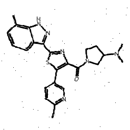 Cc1ccc(-c2sc(-c3n[nH]c4c(C)cccc34)nc2C(=O)N2CCC(N(C)C)C2)cn1